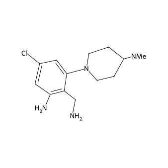 CNC1CCN(c2cc(Cl)cc(N)c2CN)CC1